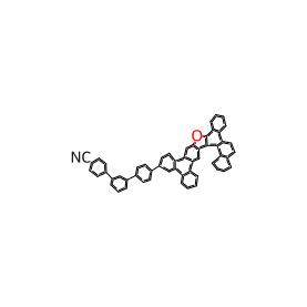 N#Cc1ccc(-c2cccc(-c3ccc(-c4ccc5c(c4)c4ccccc4c4cc6c(cc54)oc4c5ccccc5c5ccc7ccccc7c5c64)cc3)c2)cc1